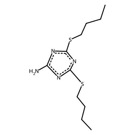 CCCCSc1nc(N)nc(SCCCC)n1